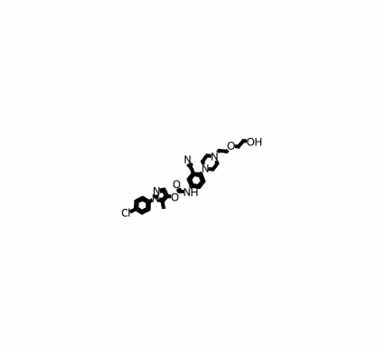 Cc1c(OC(=O)Nc2ccc(N3CCN(CCOCCO)CC3)c(C#N)c2)cnn1-c1ccc(Cl)cc1